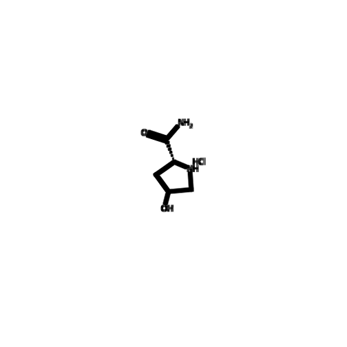 Cl.NC(=O)[C@H]1CC(O)CN1